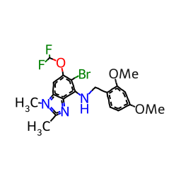 COc1ccc(CNc2c(Br)c(OC(F)F)cc3c2nc(C)n3C)c(OC)c1